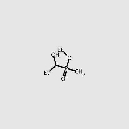 CCOP(C)(=O)C(O)CC